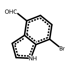 O=Cc1ccc(Br)c2[nH]ccc12